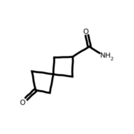 NC(=O)C1CC2(CC(=O)C2)C1